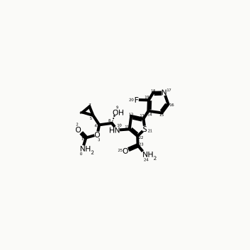 NC(=O)OC(C1CC1)[C@H](O)Nc1cc(-c2ccncc2F)sc1C(N)=O